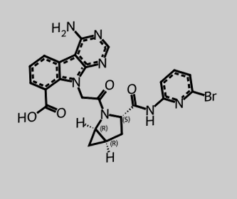 Nc1ncnc2c1c1cccc(C(=O)O)c1n2CC(=O)N1[C@@H]2C[C@@H]2C[C@H]1C(=O)Nc1cccc(Br)n1